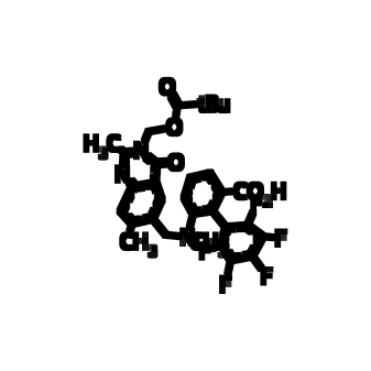 Cc1cc2nc(C)n(COC(=O)C(C)(C)C)c(=O)c2cc1CN(C)c1cccc(C(=O)O)c1-c1c(F)c(F)c(F)c(F)c1F